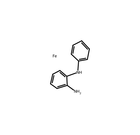 Nc1ccccc1Nc1ccccc1.[Fe]